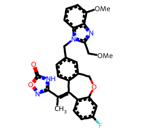 COCc1nc2c(OC)cccc2n1Cc1ccc2c(c1)COc1cc(F)ccc1/C2=C(\C)c1noc(=O)[nH]1